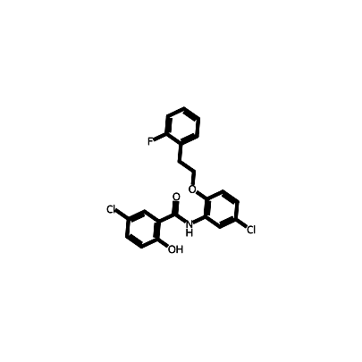 O=C(Nc1cc(Cl)ccc1OCCc1ccccc1F)c1cc(Cl)ccc1O